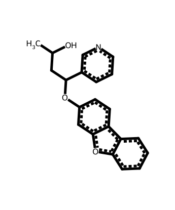 CC(O)CC(Oc1ccc2c(c1)oc1ccccc12)c1cccnc1